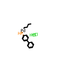 CCC[CH2][Pd][PH]c1ccc(-c2ccccc2)cc1.Cl.Cl